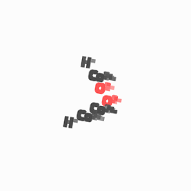 [Co+2].[Co+2].[Co+2].[H-].[H-].[O-2].[O-2]